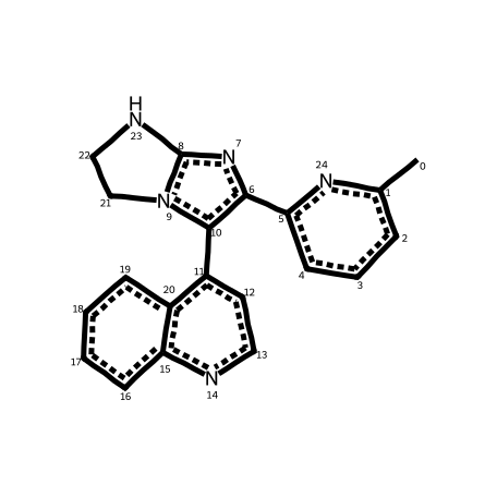 Cc1cccc(-c2nc3n(c2-c2ccnc4ccccc24)CCN3)n1